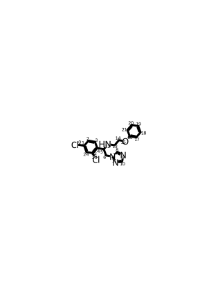 Clc1ccc(C(Cn2cncn2)NCCOc2ccccc2)c(Cl)c1